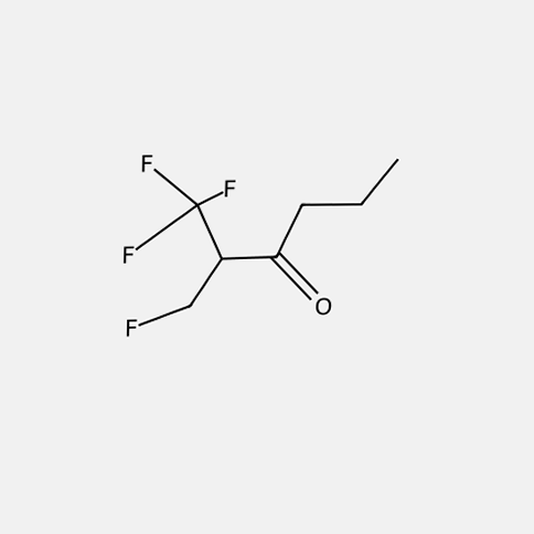 CCCC(=O)C(CF)C(F)(F)F